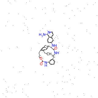 CCc1cc2ccc1CCOC(=O)Nc1cccc(c1)CNC(=O)C2Nc1ccc2c(N)nccc2c1